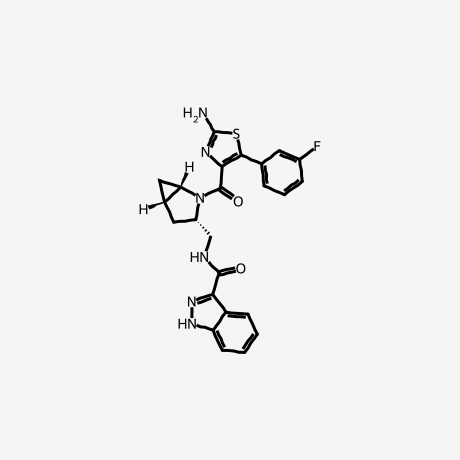 Nc1nc(C(=O)N2[C@H](CNC(=O)c3n[nH]c4ccccc34)C[C@@H]3C[C@@H]32)c(-c2cccc(F)c2)s1